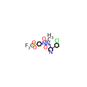 CC1C(=O)N(c2ccc(S(=O)(=O)C(F)(F)F)cc2)C(=O)N1Cc1ccncc1-c1cccc(Cl)c1